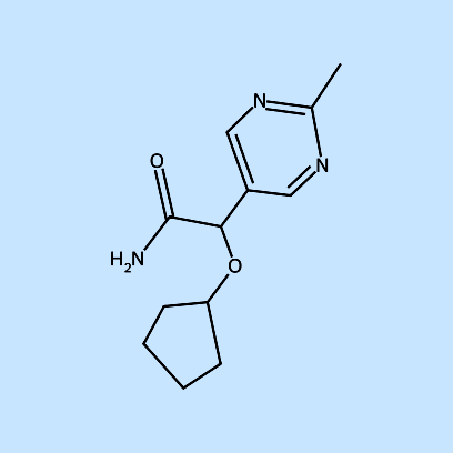 Cc1ncc(C(OC2CCCC2)C(N)=O)cn1